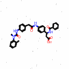 Cc1ccccc1N(C)C(=O)Nc1ccc(CC(=O)Nc2ccc(C(CC(=O)O)NC(=O)c3ccccc3)cc2)cc1